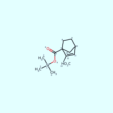 C[Si](C)(C)OC(=O)C12CCC(C=C1C(=O)O)C2